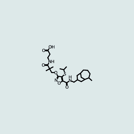 CC(C)Sc1c(OCC(C)(C)C(=O)NCCC(=O)O)noc1C(=O)NCC1CC2CCCC(C)C(C2)C1